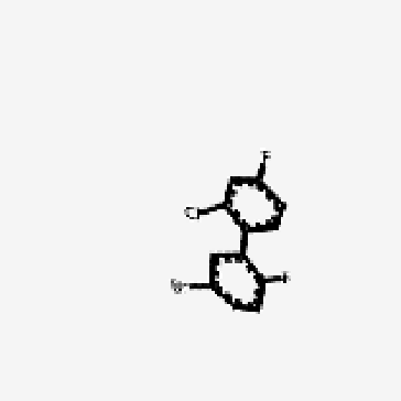 Fc1ccc(-c2cc(Br)[c]cc2F)c(Cl)c1